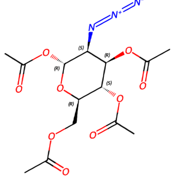 CC(=O)OC[C@H]1O[C@H](OC(C)=O)[C@@H](N=[N+]=[N-])[C@@H](OC(C)=O)[C@@H]1OC(C)=O